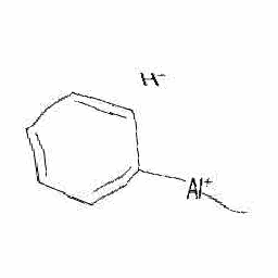 [CH3][Al+][c]1ccccc1.[H-]